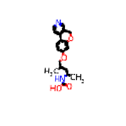 CC(COc1ccc2c(c1)OCc1cnccc1-2)CC(C)NC(=O)O